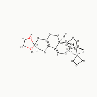 C[C@]12CC=C3C4=C(CC[C@H]3[C@@H]1CC[C@]2(C)C1CCC1)CC1(CC4)OCCO1